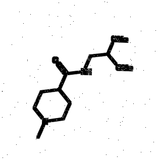 COC(CNC(=O)C1CCN(C)CC1)OC